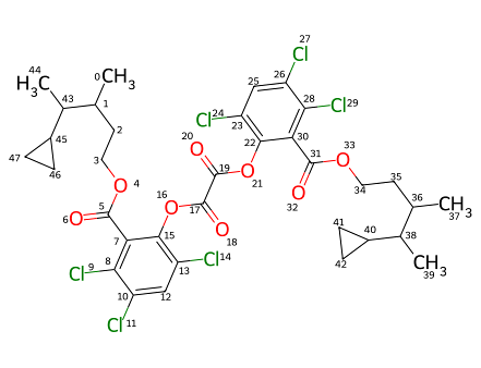 CC(CCOC(=O)c1c(Cl)c(Cl)cc(Cl)c1OC(=O)C(=O)Oc1c(Cl)cc(Cl)c(Cl)c1C(=O)OCCC(C)C(C)C1CC1)C(C)C1CC1